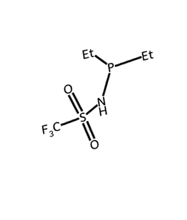 CCP(CC)NS(=O)(=O)C(F)(F)F